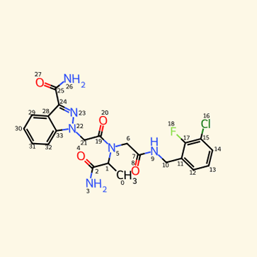 CC(C(N)=O)N(CC(=O)NCc1cccc(Cl)c1F)C(=O)Cn1nc(C(N)=O)c2ccccc21